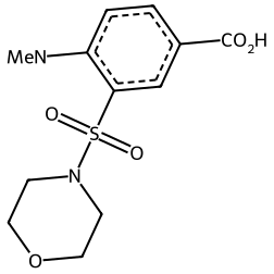 CNc1ccc(C(=O)O)cc1S(=O)(=O)N1CCOCC1